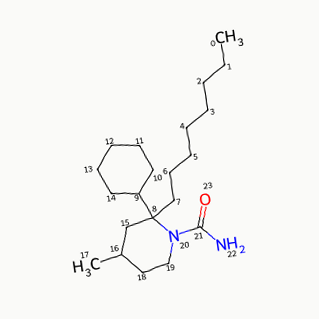 CCCCCCCCC1(C2CCCCC2)CC(C)CCN1C(N)=O